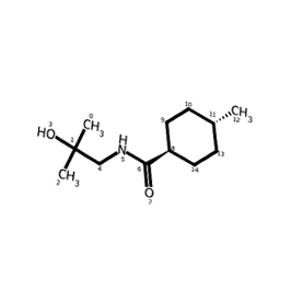 CC(C)(O)CNC(=O)[C@H]1CC[C@H](C)CC1